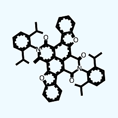 C=c1c2c3oc4ccccc4c3c3c4c(c5oc6ccccc6c5c(c(=O)n1-c1c(C(C)C)cccc1C(C)C)c42)C(=O)N(c1c(C(C)C)cccc1C(C)C)C3=O